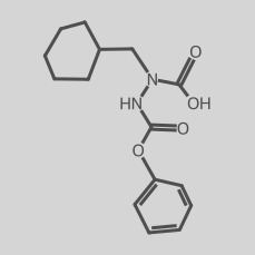 O=C(NN(CC1CCCCC1)C(=O)O)Oc1ccccc1